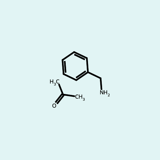 CC(C)=O.NCc1ccccc1